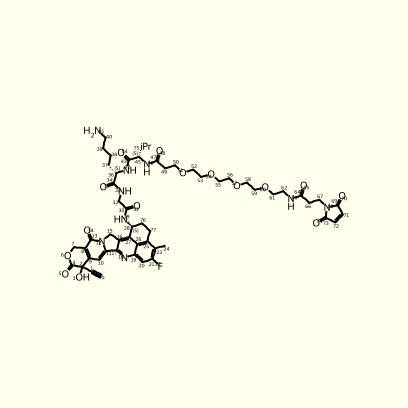 C#CC1(O)C(=O)OCc2c1cc1n(c2=O)Cc2c-1nc1cc(F)c(C)c3c1c2[C@@H](NC(=O)CNC(=O)[C@H](CCCCN)NC(=O)[C@@H](NC(=O)CCOCCOCCOCCOCCNC(=O)CCN1C(=O)C=CC1=O)C(C)C)CC3